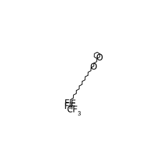 FC(F)(F)C(F)(F)C(F)(F)CCCCCCCCCCCCCCCOCCC1CCCCO1